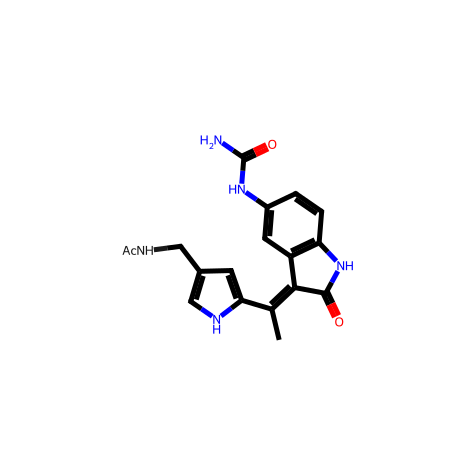 CC(=O)NCc1c[nH]c(C(C)=C2C(=O)Nc3ccc(NC(N)=O)cc32)c1